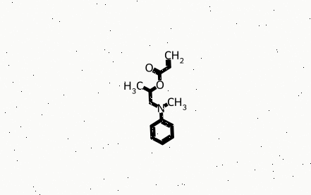 C=CC(=O)OC(C)CN(C)c1ccccc1